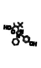 CC(C(=O)O)=C(c1cn(C2CCCCC2)c(-c2ccc(O)cc2)n1)C(C)(C)C